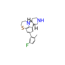 Cc1ccc(F)cc1-c1cc2c3c(c1)[C@@H]1CNCC[C@@H]1N3CCCS2